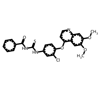 COc1cc2nccc(Oc3ccc(NC(=S)NC(=O)c4ccccc4)cc3Cl)c2cc1OC